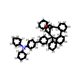 c1ccc(-c2c3cccc2C(c2ccccc2)(c2ccc(-c4ccc(N(c5ccccc5)c5ccccc5)cc4)cc2)c2ccccc2-c2ccccc2-3)cc1